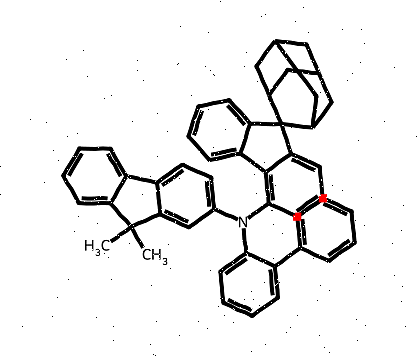 CC1(C)c2ccccc2-c2ccc(N(c3ccccc3-c3ccccc3)c3cccc4c3-c3ccccc3C43C4CC5CC(C4)CC3C5)cc21